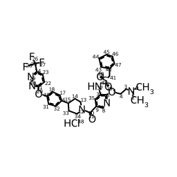 CN(C)CCOc1ncc(C(=O)N2CCC(c3ccc(Oc4ccc(C(F)(F)F)nn4)cc3)CC2)cc1NS(=O)(=O)Cc1ccccc1.Cl